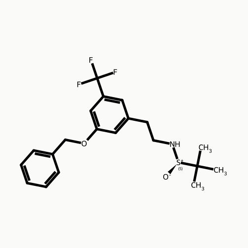 CC(C)(C)[S@@+]([O-])NCCc1cc(OCc2ccccc2)cc(C(F)(F)F)c1